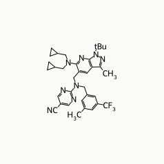 Cc1cc(CN(Cc2cc3c(C)nn(C(C)(C)C)c3nc2N(CC2CC2)CC2CC2)c2ncc(C#N)cn2)cc(C(F)(F)F)c1